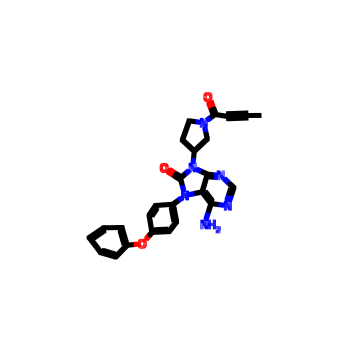 CC#CC(=O)N1CCC(n2c(=O)n(-c3ccc(Oc4ccccc4)cc3)c3c(N)ncnc32)C1